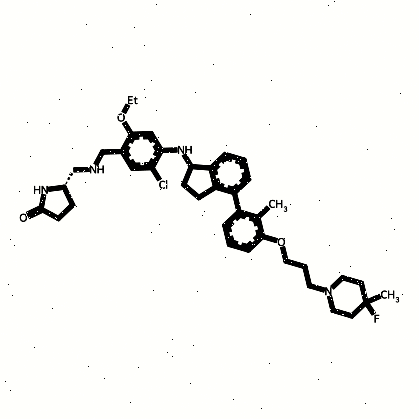 CCOc1cc(NC2CCc3c(-c4cccc(OCCCN5CCC(C)(F)CC5)c4C)cccc32)c(Cl)cc1CNC[C@@H]1CCC(=O)N1